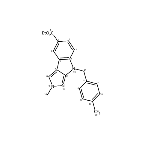 CCOC(=O)c1ccc2c(c1)c1cn(C)nc1n2Cc1ccc(C(F)(F)F)cc1